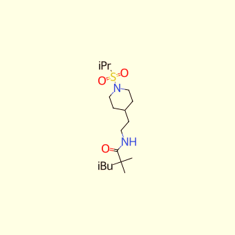 CCC(C)C(C)(C)C(=O)NCCC1CCN(S(=O)(=O)C(C)C)CC1